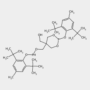 Cc1cc(C(C)(C)C)c(OPOCC2(CO)COP(Oc3c(C(C)(C)C)cc(C)cc3C(C)(C)C)OC2)c(C(C)(C)C)c1